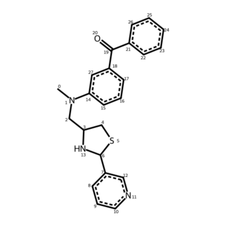 CN(CC1CSC(c2cccnc2)N1)c1cccc(C(=O)c2ccccc2)c1